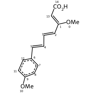 COC(C=CC=Cc1ccc(OC)cc1)=CC(=O)O